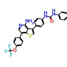 Cc1cccc(NC(=O)Nc2ccc(-c3csc4c(-c5ccc(OC(F)(F)F)cc5)cnc(N)c34)cc2)c1